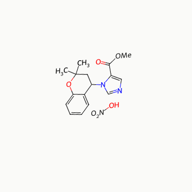 COC(=O)c1cncn1C1CC(C)(C)Oc2ccccc21.O=[N+]([O-])O